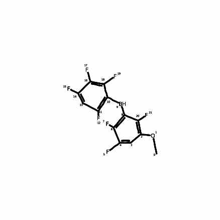 COc1cc(F)c(F)c(Bc2c(F)cc(F)c(F)c2F)c1F